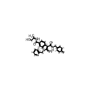 CC(CO)NC(=O)c1ccc2c(C(=O)NCc3ccc(F)cc3)c(C(C)C)n(Cc3ccccn3)c2c1